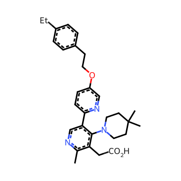 CCc1ccc(CCOc2ccc(-c3cnc(C)c(CC(=O)O)c3N3CCC(C)(C)CC3)nc2)cc1